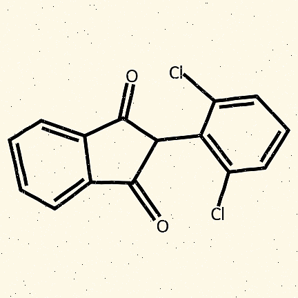 O=C1c2ccccc2C(=O)C1c1c(Cl)cccc1Cl